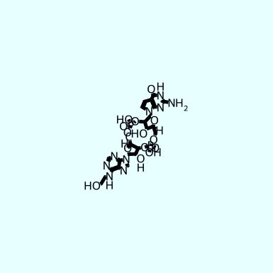 Nc1nc2c(ccn2[C@@H]2O[C@@H]3COP(=O)(O)OC4C(O)[C@H](n5cnc6c(NCCO)ncnc65)O[C@@H]4COP(=O)(O)OC2C3O)c(=O)[nH]1